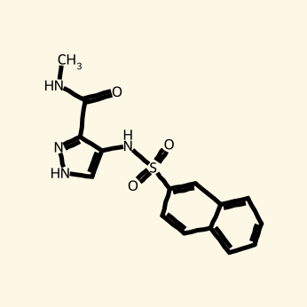 CNC(=O)c1n[nH]cc1NS(=O)(=O)c1ccc2ccccc2c1